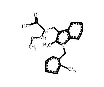 CON[C@@H](Cc1c(C)n(Cc2ccccc2C)c2ccccc12)C(=O)O